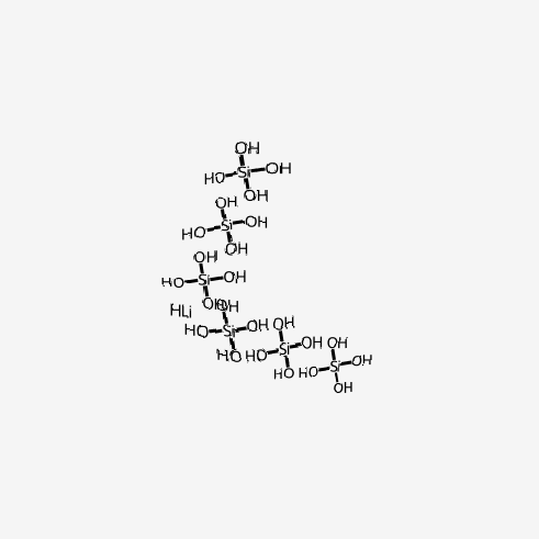 O[Si](O)(O)O.O[Si](O)(O)O.O[Si](O)(O)O.O[Si](O)(O)O.O[Si](O)(O)O.O[Si](O)(O)O.[LiH]